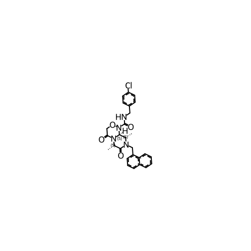 C[C@H]1[C@@H]2N(C(=O)NCc3ccc(Cl)cc3)OCC(=O)N2[C@@H](C)C(=O)N1Cc1cccc2ccccc12